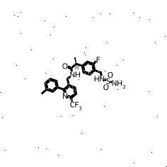 Cc1cccc(-c2nc(C(F)(F)F)ccc2CNC(=O)[C@@H](C)c2ccc(CNS(N)(=O)=O)c(F)c2)c1